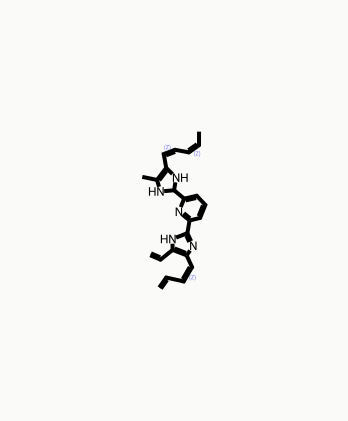 C=C/C=C\c1nc(-c2cccc(C3NC(C)=C(/C=C\C=C/C)N3)n2)[nH]c1C=C